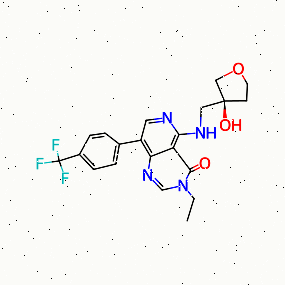 CCn1cnc2c(-c3ccc(C(F)(F)F)cc3)cnc(NC[C@@]3(O)CCOC3)c2c1=O